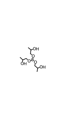 CC(O)COB(OCC(C)O)OCC(C)O